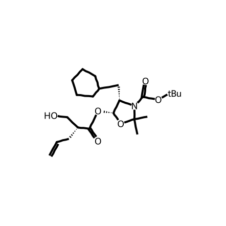 C=CC[C@H](CO)C(=O)O[C@H]1OC(C)(C)N(C(=O)OC(C)(C)C)[C@H]1CC1CCCCC1